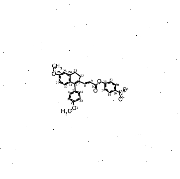 COc1ccc(C2=C(/C=C/C(=O)Oc3ccc([N+](=O)[O-])cc3)CCc3cc(OC)ccc32)cc1